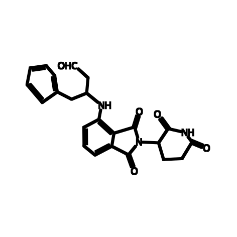 O=CCC(Cc1ccccc1)Nc1cccc2c1C(=O)N(C1CCC(=O)NC1=O)C2=O